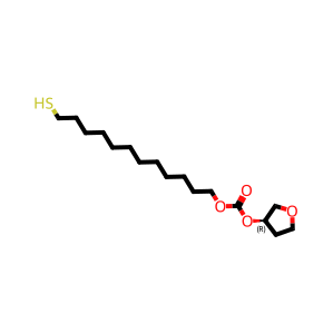 O=C(OCCCCCCCCCCCCS)O[C@@H]1CCOC1